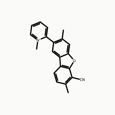 Cc1cc2oc3c(C#N)c(C)ccc3c2cc1-c1cccc[n+]1C